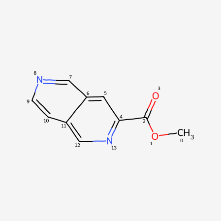 COC(=O)c1cc2cnccc2cn1